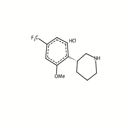 COc1cc(C(F)(F)F)ccc1[C@H]1CCCNC1.Cl